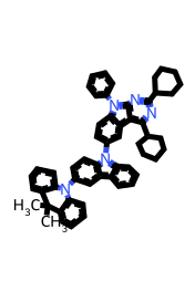 CC1(C)c2ccccc2N(c2ccc3c(c2)c2ccccc2n3-c2ccc3c(c2)c2c(C4CCCCC4)nc(C4CCCCC4)nc2n3-c2ccccc2)c2ccccc21